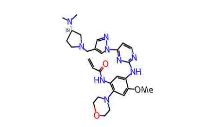 C=CC(=O)Nc1cc(Nc2nccc(-n3cc(CN4CC[C@H](N(C)C)C4)cn3)n2)c(OC)cc1N1CCOCC1